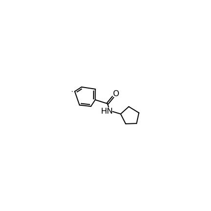 O=C(NC1CCCC1)c1cc[c]cc1